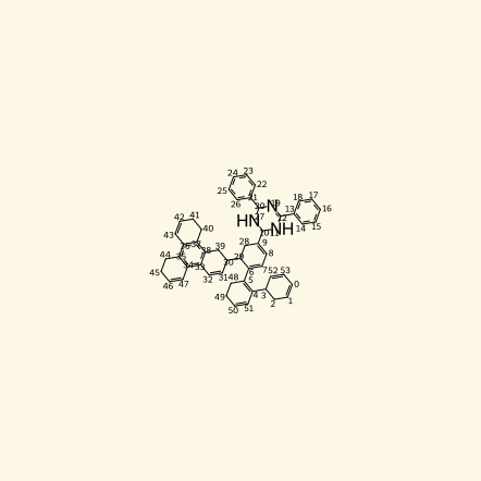 C1=CCC(C2=C(C3=CC=C(C4NC(c5ccccc5)=NC(c5ccccc5)N4)CC3C3C=Cc4c5c(c6c(c4C3)CCC=C6)CCC=C5)CCC=C2)C=C1